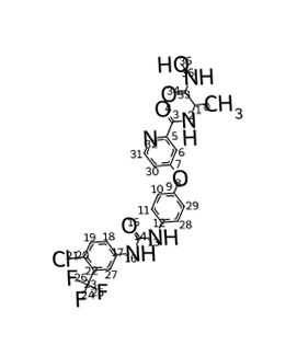 CC(NC(=O)c1cc(Oc2ccc(NC(=O)Nc3ccc(Cl)c(C(F)(F)F)c3)cc2)ccn1)C(=O)NO